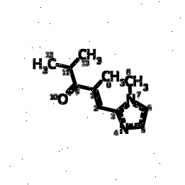 C/C(=C\c1nccn1C)C(=O)C(C)C